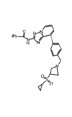 CC(C)C(=O)Nc1nc2c(-c3ccc(CN4CC(S(=O)(=O)C5CC5)C4)cc3)cccn2n1